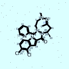 C/C1=N\N(C)CCN(Cc2ccccn2)N(C(=O)c2cc3c(Cl)c(Cl)ccc3[nH]2)[C@H](C)C1